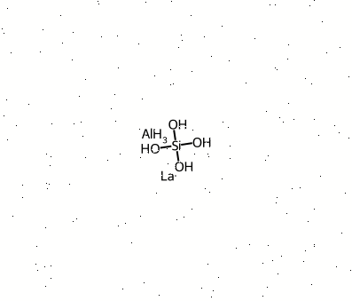 O[Si](O)(O)O.[AlH3].[La]